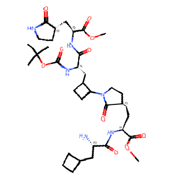 COC(=O)[C@H](C[C@@H]1CCNC1=O)NC(=O)[C@H](CC1CCC1N1CC[C@@H](C[C@H](NC(=O)[C@@H](N)CC2CCC2)C(=O)OC)C1=O)NC(=O)OC(C)(C)C